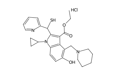 CCOC(=O)c1c(C(S)c2ccccn2)n(C2CC2)c2ccc(O)c(CN3CCCCC3)c12.Cl